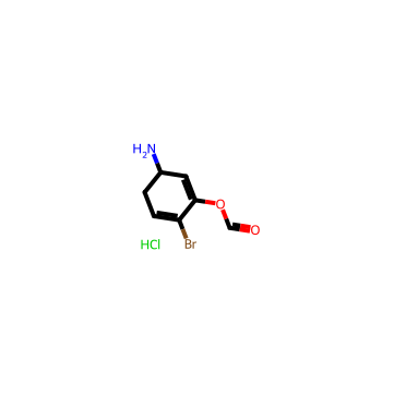 Cl.NC1C=C(OC=O)C(Br)=CC1